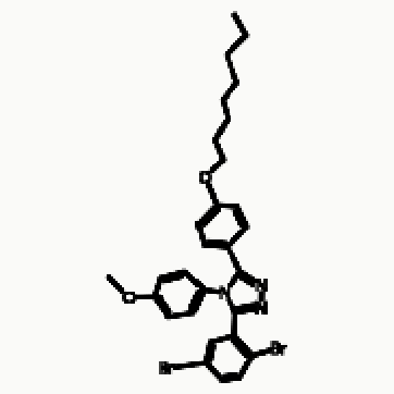 CCCCCCCCOc1ccc(-c2nnc(-c3cc(Br)ccc3Br)n2-c2ccc(OC)cc2)cc1